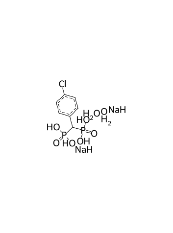 O.O.O=P(O)(O)C(c1ccc(Cl)cc1)P(=O)(O)O.[NaH].[NaH]